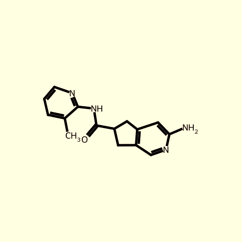 Cc1cccnc1NC(=O)C1Cc2cnc(N)cc2C1